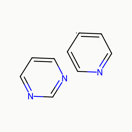 [c]1ccncc1.c1cncnc1